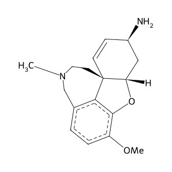 COc1ccc2c3c1O[C@H]1C[C@H](N)C=C[C@@]31CCN(C)C2